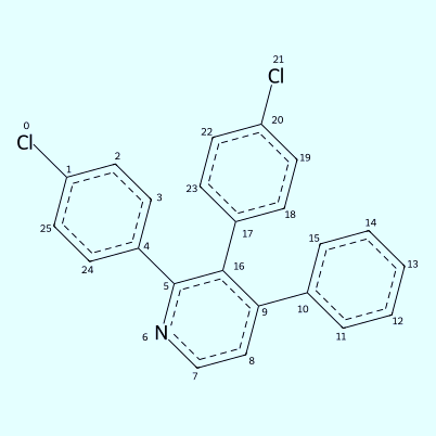 Clc1ccc(-c2nccc(-c3ccccc3)c2-c2ccc(Cl)cc2)cc1